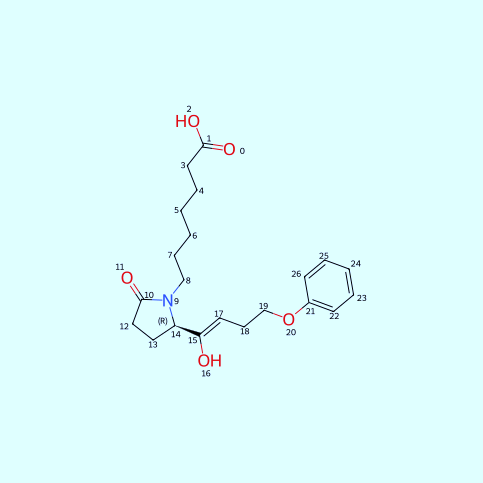 O=C(O)CCCCCCN1C(=O)CC[C@@H]1C(O)=CCCOc1ccccc1